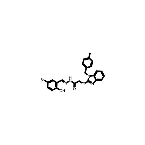 Cc1ccc(Cn2c(SCC(=O)N/N=C/c3cc(Br)ccc3O)nc3ccccc32)cc1